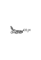 O=C(O)CCc1ccc2cccc(OC3CCN(CCc4ccc(OC5CCN(C6CCC6)CC5)cc4)CC3)c2n1.O=CO